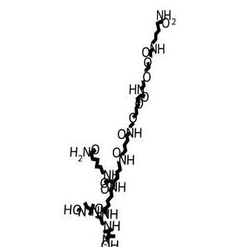 C/C(=N\O)C(C)(C)NCC(CNC(C)(C)/C(C)=N/O)NC(=O)CCCC(=O)NC(CCCCNC(=O)CCCC(=O)NCCOCCOCC(=O)NCCOCCOCC(=O)NCCCCCC(N)=O)C(=O)NCCCCCC(N)=O